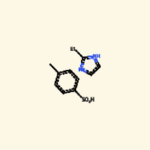 CCc1ncc[nH]1.Cc1ccc(S(=O)(=O)O)cc1